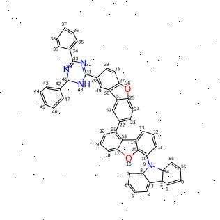 C1=CC2c3ccccc3N(c3cccc4c3oc3cccc(-c5ccc6oc7ccc(C8=NC(c9ccccc9)=NC(c9ccccc9)N8)cc7c6c5)c34)C2C=C1